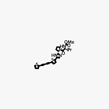 COC(=O)N[C@H](C(=O)N1CCC[C@H]1c1ncc(-c2ccc(C#CC#Cc3cccs3)s2)[nH]1)C(C)C